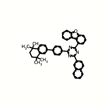 CC1(C)CCC(C)(C)c2cc(-c3ccc(-c4nc(-c5ccc6ccccc6c5)nc(-c5cccc6oc7ccccc7c56)n4)cc3)ccc21